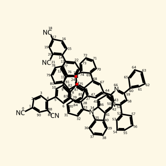 N#Cc1ccc(-c2ccc3c(c2)c2cc(-c4ccc(C#N)cc4C#N)ccc2n3-c2c(-c3ccccc3-n3c4ccccc4c4ccccc43)cc(-c3nc(-c4ccccc4)cc(-c4ccccc4)n3)cc2-c2ccccc2-n2c3ccccc3c3ccccc32)c(C#N)c1